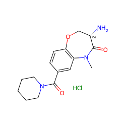 CN1C(=O)[C@@H](N)COc2ccc(C(=O)N3CCCCC3)cc21.Cl